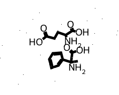 CC(N)(C(=O)O)c1ccccc1.NC(CCC(=O)O)C(=O)O